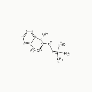 Cc1ccccc1[C@H](C(C)C)[C@H](Cl)OC[C@](C)(N)C=O